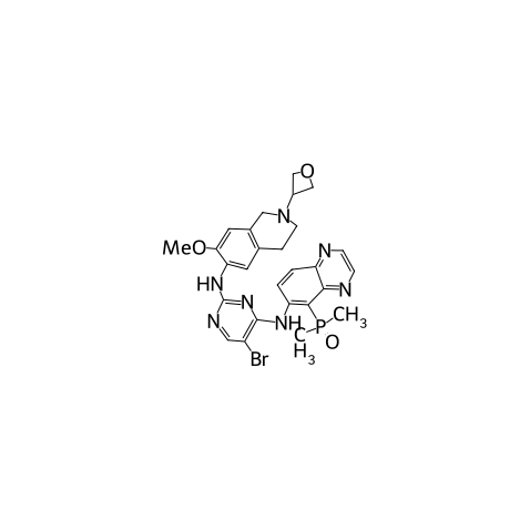 COc1cc2c(cc1Nc1ncc(Br)c(Nc3ccc4nccnc4c3P(C)(C)=O)n1)CCN(C1COC1)C2